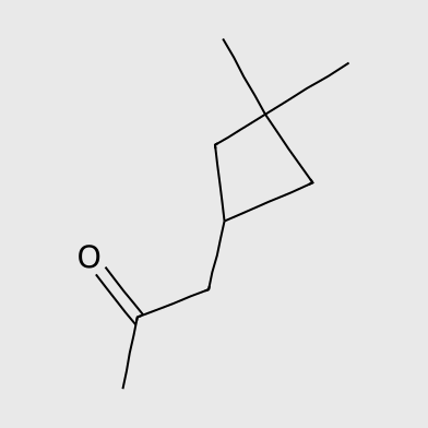 CC(=O)CC1CC(C)(C)C1